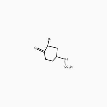 CCOC(=O)NC1CCC(=O)C(Br)C1